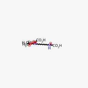 CCC(C)(C)C(=O)OCC(O)CN(CCCCCCCCCCCCNC(=O)CCC(=O)O)C(=O)CCC(=O)O